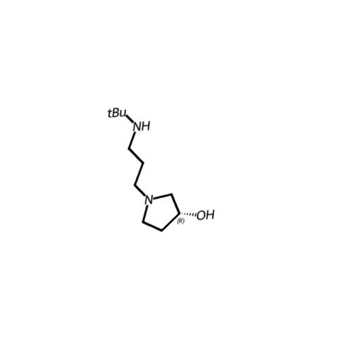 CC(C)(C)NCCCN1CC[C@@H](O)C1